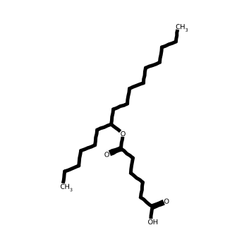 CCCCCCCCCC(CCCCCC)OC(=O)CCCCC(=O)O